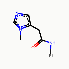 CCNC(=O)Cc1cncn1C